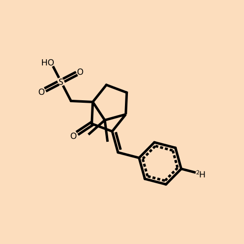 [2H]c1ccc(C=C2C(=O)C3(CS(=O)(=O)O)CCC2C3(C)C)cc1